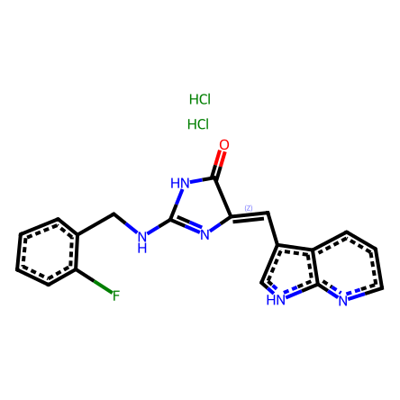 Cl.Cl.O=C1NC(NCc2ccccc2F)=N/C1=C\c1c[nH]c2ncccc12